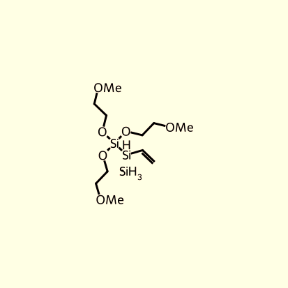 C=C[SiH]([SiH3])[Si](OCCOC)(OCCOC)OCCOC